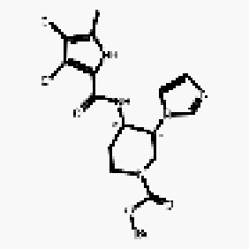 Cc1[nH]c(C(=O)N[C@@H]2CCN(C(=O)OC(C)(C)C)C[C@@H]2n2ccnc2)c(Cl)c1Cl